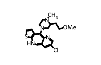 COCCC1CN(C2=c3ncc(Cl)cc3=CNc3sccc32)CCN1C